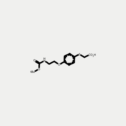 CC(C)(C)OC(=O)NCCOc1ccc(SCC(=O)O)cc1